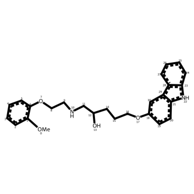 COc1ccccc1OCCNCC(O)CCCOc1ccc2[nH]c3ccccc3c2c1